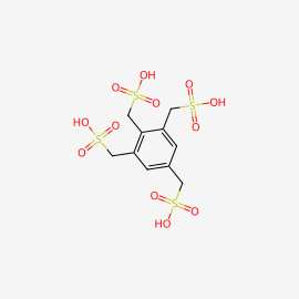 O=S(=O)(O)Cc1cc(CS(=O)(=O)O)c(CS(=O)(=O)O)c(CS(=O)(=O)O)c1